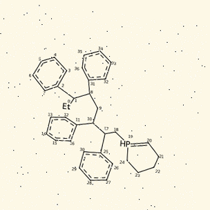 CCC(c1ccccc1)C(CC(c1ccccc1)C(C[PH]1=CCCCC1)c1ccccc1)c1ccccc1